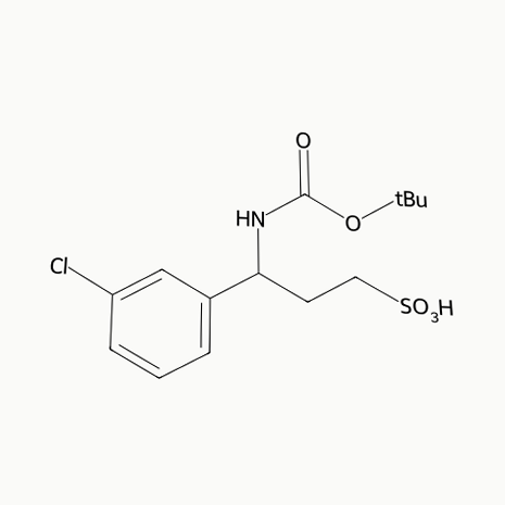 CC(C)(C)OC(=O)NC(CCS(=O)(=O)O)c1cccc(Cl)c1